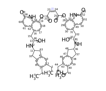 CCc1cc2c(cc1CC)CC(N[C@H](O)Cc1ccc(OC(=O)/C=C\C(=O)Oc3ccc(C[C@@H](O)NC4Cc5cc(CC)c(CC)cc5C4)c4ccc(=O)[nH]c34)c3[nH]c(=O)ccc13)C2